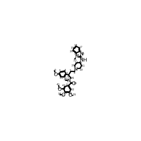 COc1ccc(C(CCN2CCC(Nc3nc4ccccc4n3C)CC2)CN(C)C(=O)c2cc(OC)c(OC)c(OC)c2)cc1